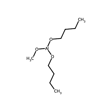 CCCC[O][Al]([O]C)[O]CCCC